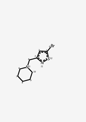 Brc1cc(CN2CCCCC2)ns1